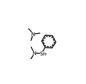 CN(C)C.C[N](C)[Sn][c]1ccccc1